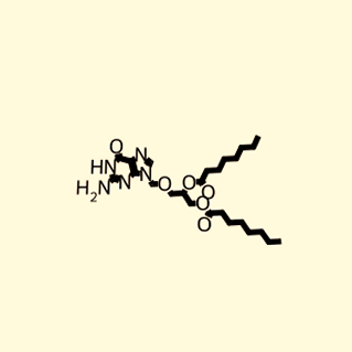 CCCCCCCC(=O)OCC(COCn1cnc2c(=O)[nH]c(N)nc21)OC(=O)CCCCCCC